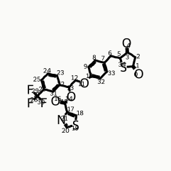 O=C1CC(=O)C(Cc2ccc(OCC(OC(=O)c3cscn3)c3cccc(C(F)(F)F)c3)cc2)S1